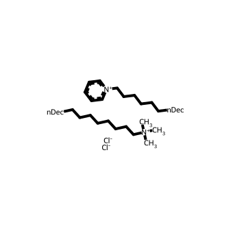 CCCCCCCCCCCCCCCCCC[N+](C)(C)C.CCCCCCCCCCCCCCCC[n+]1ccccc1.[Cl-].[Cl-]